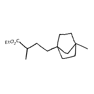 CCOC(=O)C(C)CCC12CCC(C)(CC1)C2